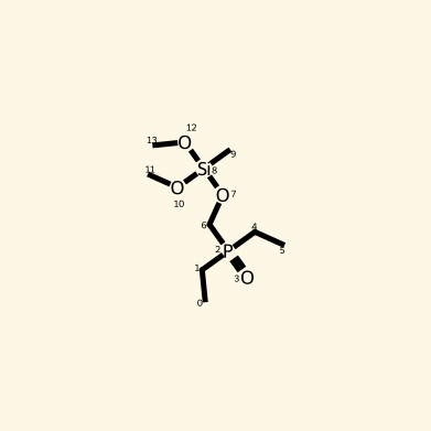 CCP(=O)(CC)CO[Si](C)(OC)OC